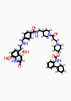 O=C(Nc1ccccc1-c1ccccc1)OC1CCN(CCC(=O)N2CCC(CNC(=O)c3ccc(CNC[C@H](O)c4ccc(O)c5[nH]c(=O)ccc45)cc3)CC2)CC1